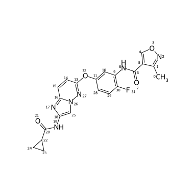 Cc1nocc1C(=O)Nc1cc(Oc2ccc3nc(NC(=O)C4CC4)cn3n2)ccc1F